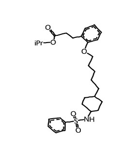 CC(C)OC(=O)CCc1ccccc1OCCCCCC1CCC(NS(=O)(=O)c2ccccc2)CC1